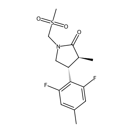 Cc1cc(F)c([C@@H]2CN(CS(C)(=O)=O)C(=O)[C@H]2C)c(F)c1